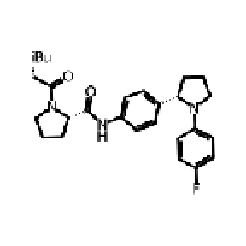 CC[C@@H](C)CC(=O)N1CCC[C@H]1C(=O)Nc1ccc([C@@H]2CCCN2c2ccc(F)cc2)cc1